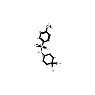 Cc1ccc(S(=O)(=O)OC2CCC(F)(F)CC2)cc1